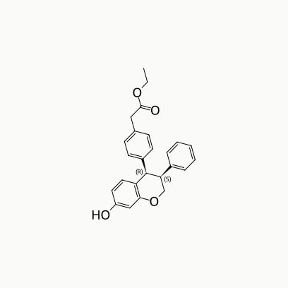 CCOC(=O)Cc1ccc([C@@H]2c3ccc(O)cc3OC[C@@H]2c2ccccc2)cc1